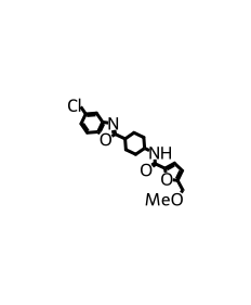 COCc1ccc(C(=O)NC2CCC(c3nc4cc(Cl)ccc4o3)CC2)o1